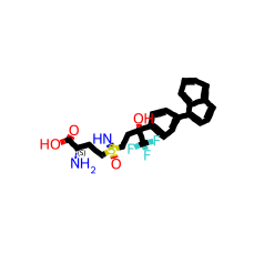 N=S(=O)(CC[C@H](N)C(=O)O)CCC(O)(c1ccc(-c2cccc3ccccc23)cc1)C(F)(F)F